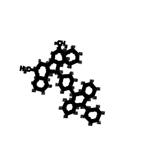 Cc1cc2c3cc(C)c4ccccc4c3n(-c3ccc(-c4c5ccccc5c(-c5ccccc5)c5ccccc45)cc3)c2c2ccccc12